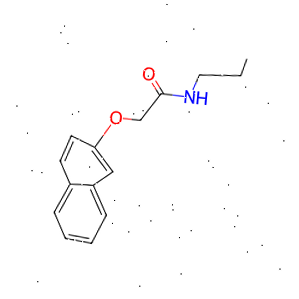 CCCNC(=O)COc1ccc2ccccc2c1